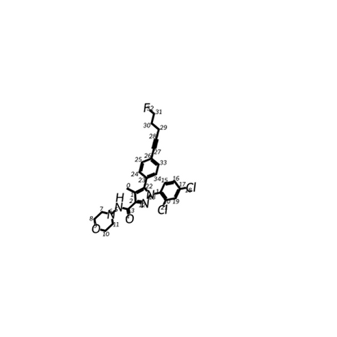 Cc1c(C(=O)NN2CCOCC2)nn(-c2ccc(Cl)cc2Cl)c1-c1ccc(C#CCCCF)cc1